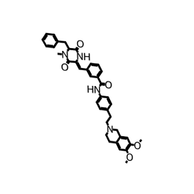 COc1cc2c(cc1OC)CN(CCc1ccc(NC(=O)c3cccc(C=C4NC(=O)C(Cc5ccccc5)N(C)C4=O)c3)cc1)CC2